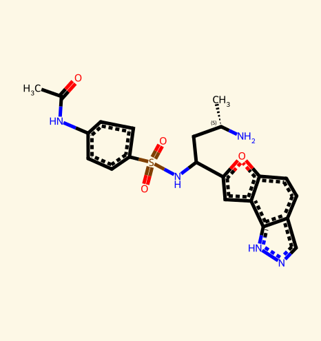 CC(=O)Nc1ccc(S(=O)(=O)NC(C[C@H](C)N)c2cc3c(ccc4cn[nH]c43)o2)cc1